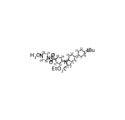 CCOC(=O)c1cc2cc(-c3ccc(C(C)(C)C)cc3)ccc2n1-c1ccc(S(=O)(=O)N2CCN(C)CC2)cc1